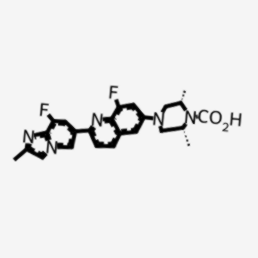 Cc1cn2cc(-c3ccc4cc(N5C[C@@H](C)N(C(=O)O)[C@@H](C)C5)cc(F)c4n3)cc(F)c2n1